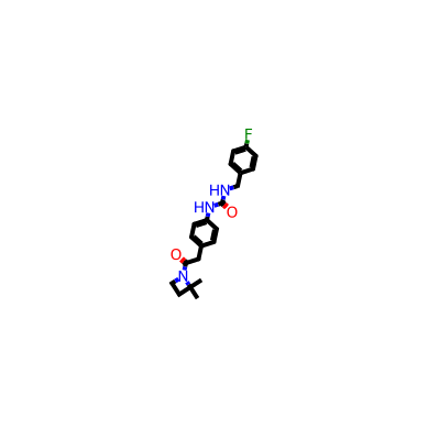 CC1(C)CCN1C(=O)Cc1ccc(NC(=O)NCc2ccc(F)cc2)cc1